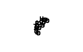 CC(=O)OCC1=C(C)CC([C@@H](C)C2CCC3C4C[C@H]5O[C@]56[C@H](OC(C)=O)C=CC(=O)[C@]6(C)C4CC[C@@]32C)OC1=O